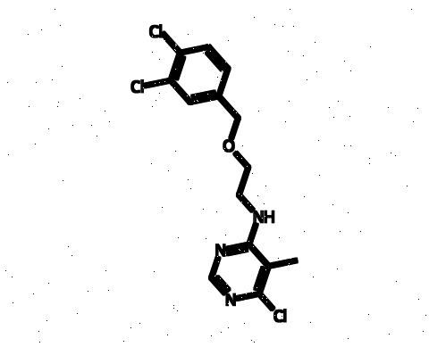 Cc1c(Cl)ncnc1NCCOCc1ccc(Cl)c(Cl)c1